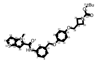 Cn1c(C(=O)Nc2cccc(COc3ccc(OCC4CN(C(=O)OC(C)(C)C)C4)cc3)c2)cc2sccc21